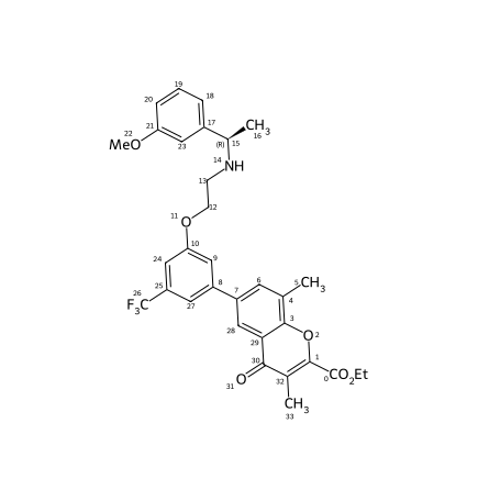 CCOC(=O)c1oc2c(C)cc(-c3cc(OCCN[C@H](C)c4cccc(OC)c4)cc(C(F)(F)F)c3)cc2c(=O)c1C